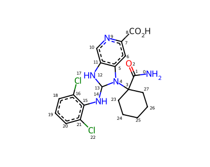 NC(=O)C1(N2c3cc(C(=O)O)ncc3NC2Nc2c(Cl)cccc2Cl)CCCCC1